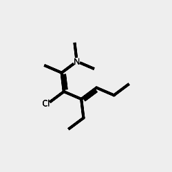 CC/C=C(CC)/C(Cl)=C(/C)N(C)C